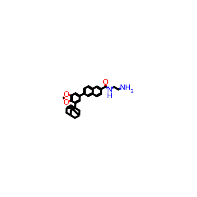 NCCNC(=O)c1ccc2cc(-c3cc4c(c(C56CC7CC(CC(C7)C5)C6)c3)OCO4)ccc2c1